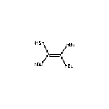 CCCC[C]([SnH])=C(CCCC)CCCC